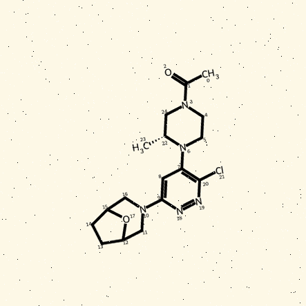 CC(=O)N1CCN(c2cc(N3CC4CCC(C3)O4)nnc2Cl)[C@H](C)C1